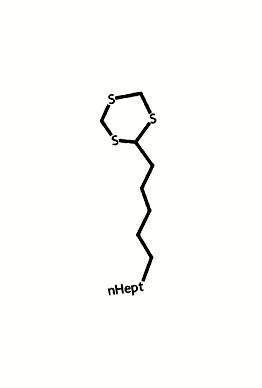 CCCCCCCCCCCCC1SCSCS1